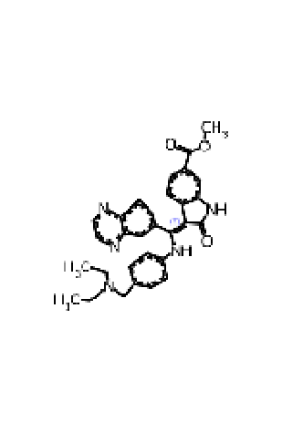 CCN(CC)Cc1ccc(N/C(=C2\C(=O)Nc3cc(C(=O)OC)ccc32)c2ccc3nccnc3c2)cc1